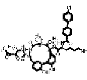 CC1OC1C(=O)[C@H](C)NC(=O)[C@@H]1Cc2ccc(O)c(c2)-c2cc(ccc2O)[C@H](N(C)C(=O)[C@H](CCCCN)NC(=O)c2ccc(-c3ccc(Cl)cc3)cc2)C(=O)N[C@@H](C)C(=O)N1